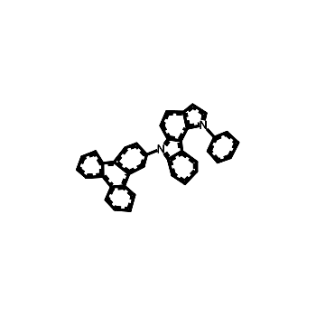 c1ccc(-n2ccc3ccc4c(c5ccccc5n4-c4ccc5c6ccccc6c6ccccc6c5c4)c32)cc1